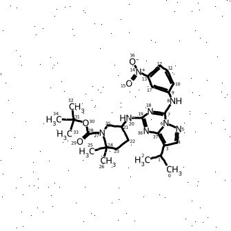 CC(C)c1cnn2c(Nc3cccc([N+](=O)[O-])c3)nc(NC3CCC(C)(C)N(C(=O)OC(C)(C)C)C3)nc12